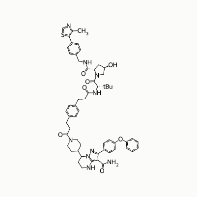 Cc1ncsc1-c1ccc(CNC(=O)[C@@H]2C[C@@H](O)CN2C(=O)[C@@H](NC(=O)CCc2ccc(CCC(=O)N3CCC(C4CCNc5c(C(N)=O)c(-c6ccc(Oc7ccccc7)cc6)nn54)CC3)cc2)C(C)(C)C)cc1